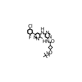 Cc1nnc(-c2cc(Cl)ccc2F)cc1Nc1cc(NC(=O)C2CC(O[Si](C)(C)C(C)(C)C)C2)ncn1